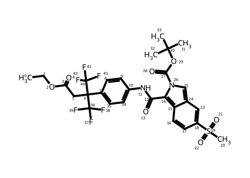 CCOC(=O)CC(c1ccc(NC(=O)c2c3ccc(S(C)(=O)=O)cc3cn2C(=O)OC(C)(C)C)cc1)(C(F)(F)F)C(F)(F)F